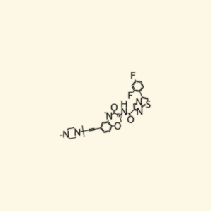 CN1CCN(C(C)(C)C#Cc2ccc3c(c2)N(C)C(=O)[C@@H](NC(=O)c2cn4c(-c5ccc(F)cc5F)csc4n2)CO3)CC1